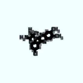 CCC(N)(C(N)=O)n1c2ccc(Cl)cc2c2nc3cc(C)c(C)cc3nc21